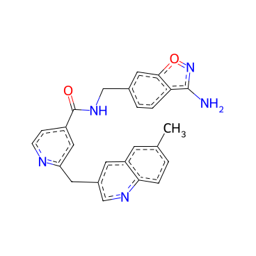 Cc1ccc2ncc(Cc3cc(C(=O)NCc4ccc5c(N)noc5c4)ccn3)cc2c1